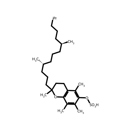 Cc1c(C)c2c(c(C)c1OS(=O)(=O)O)CCC(C)(CCC[C@H](C)CCC[C@H](C)CCCC(C)C)O2